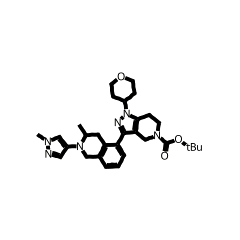 CC1Cc2c(cccc2-c2nn(C3CCOCC3)c3c2CN(C(=O)OC(C)(C)C)CC3)CN1c1cnn(C)c1